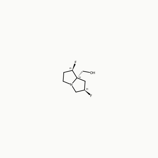 OC[C@]12C[C@@H](F)CN1CC[C@H]2F